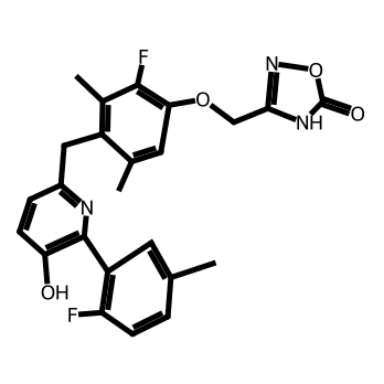 Cc1ccc(F)c(-c2nc(Cc3c(C)cc(OCc4noc(=O)[nH]4)c(F)c3C)ccc2O)c1